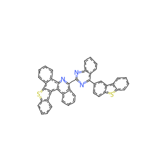 c1ccc2c(-c3ccc4sc5ccccc5c4c3)nc(-c3nc4c5ccccc5c5sc6ccccc6c5c4c4ccccc34)nc2c1